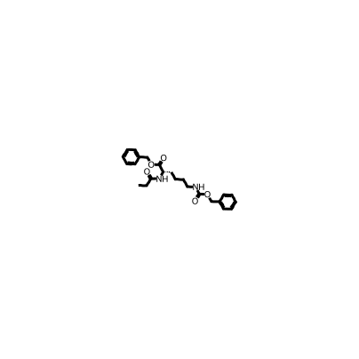 CCC(=O)N[C@@H](CCCCNC(=O)OCc1ccccc1)C(=O)OCc1ccccc1